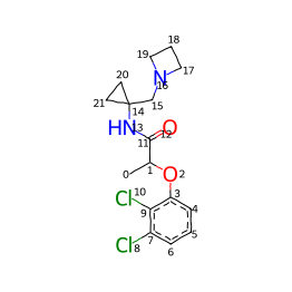 CC(Oc1cccc(Cl)c1Cl)C(=O)NC1(CN2CCC2)CC1